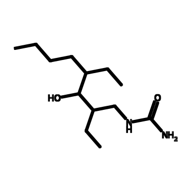 CCCCC(CC)C(O)C(CC)CNC(N)=O